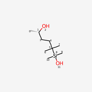 C[C@H](O)CCC(C)(C)[Si](C)(C)O